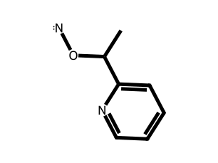 CC(O[N])c1ccccn1